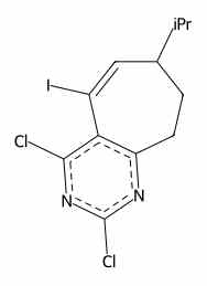 CC(C)C1C=C(I)c2c(Cl)nc(Cl)nc2CC1